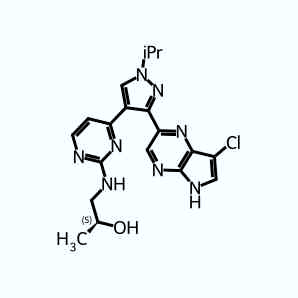 CC(C)n1cc(-c2ccnc(NC[C@H](C)O)n2)c(-c2cnc3[nH]cc(Cl)c3n2)n1